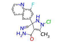 CC1=C(C(N)=O)C(C#N)(c2cc(F)c3ncccc3c2)NN1Cl